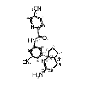 N#Cc1ccc(C(=O)Nc2cc(Cl)cc([C@]34CCC[C@H]3CSC(N)=N4)c2)nc1